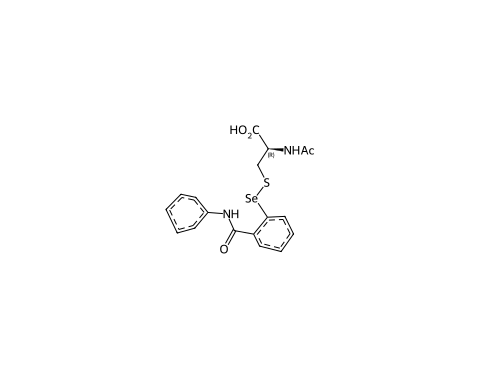 CC(=O)N[C@@H](CS[Se]c1ccccc1C(=O)Nc1ccccc1)C(=O)O